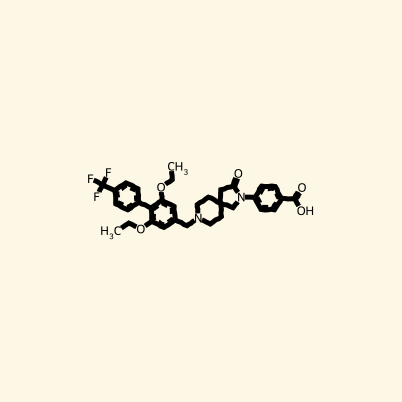 CCOc1cc(CN2CCC3(CC2)CC(=O)N(c2ccc(C(=O)O)cc2)C3)cc(OCC)c1-c1ccc(C(F)(F)F)cc1